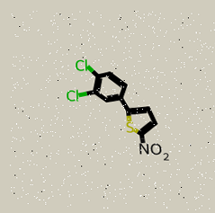 O=[N+]([O-])c1ccc(-c2ccc(Cl)c(Cl)c2)s1